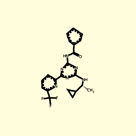 C[C@@H](Nc1nc(NC(=O)c2ccccc2)nc(-c2cccc(C(F)(F)F)n2)n1)C1CC1